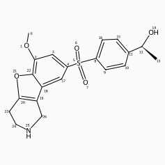 COc1cc(S(=O)(=O)c2ccc([C@H](C)O)cc2)cc2c3c(oc12)CCNC3